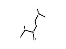 CCN(CCN(C)C)[C@H](C)I